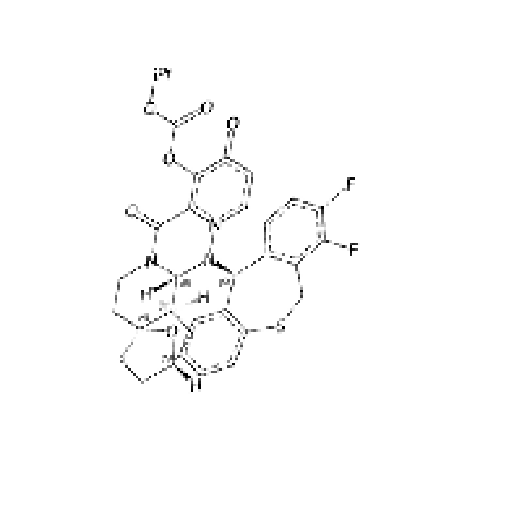 CC(C)OC(=O)Oc1c2n(ccc1=O)N([C@@H]1c3ccccc3SCc3c1ccc(F)c3F)[C@@H]1[C@H]3C[C@@H]4CC[C@@]3(CCN1C2=O)O4